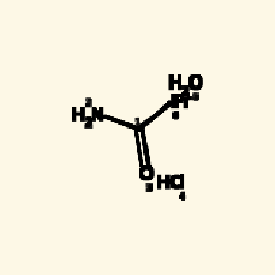 CC(C)C(N)=O.Cl.O